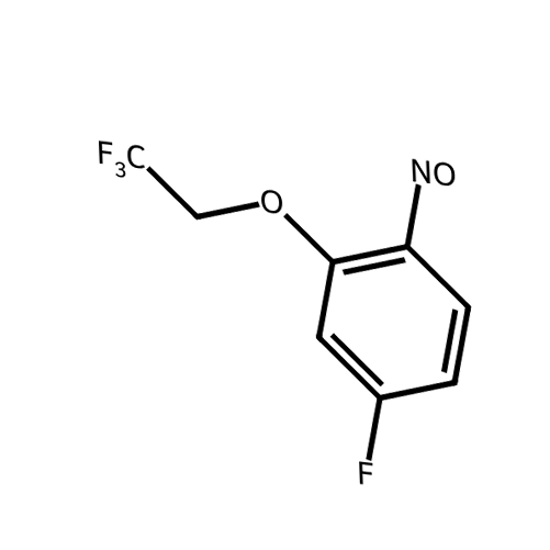 O=Nc1ccc(F)cc1OCC(F)(F)F